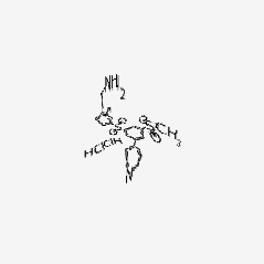 CS(=O)(=O)c1cc(-c2ccncc2)cc(S(=O)(=O)c2ccc(CN)s2)c1.Cl.Cl